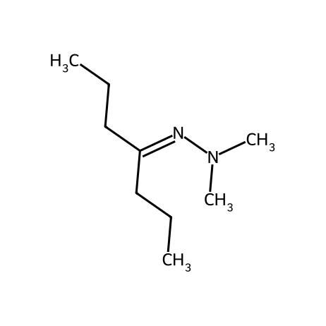 CCCC(CCC)=NN(C)C